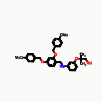 COc1ccc(COc2ccc(CNc3cccc(OC(C)(C)CO)c3)c(OCc3ccc(OC)cc3)c2)cc1